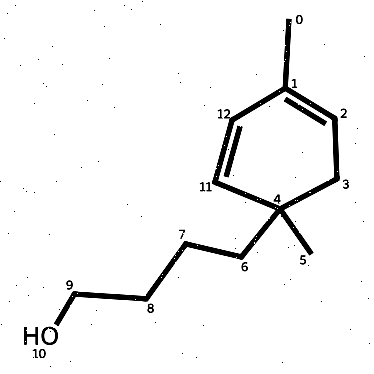 CC1=CCC(C)(CCCCO)C=C1